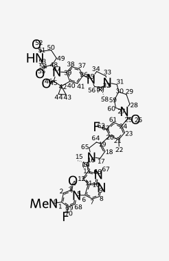 CNc1cc(=O)n(-c2ccnc3c2cc([C@H](C)N2CC=C(c4c(C)cc(C(=O)N5CCC(CN6CCN(c7ccc8c(c7)C7(CC7)C(=O)N8C7CCC(=O)NC7=O)C[C@H]6C)CC5)cc4F)CC2)n3C)cc1F